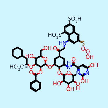 CC1OC(OC2C(NC(=O)c3cc(O)nc(O)n3)CC(C(=O)CNc3cc(SOOO)cc4cc(S(=O)(=O)O)cc(S(=O)(=O)O)c34)CC2OC2OC(CO)C(O)C(O[C@@H](CC3CCCCC3)C(=O)O)C2OC(=O)c2ccccc2)C(O)C(O)C1O